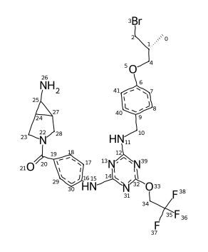 C[C@@H](CBr)COc1ccc(CNc2nc(Nc3ccc(C(=O)N4CC5C(N)C5C4)cc3)nc(OCC(F)(F)F)n2)cc1